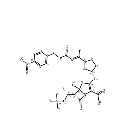 CC(=NC(=O)OCc1ccc([N+](=O)[O-])cc1)N1CC[C@H](SC2=C(C(=O)O)N3C(=O)[C@H]([C@@H](C)O[Si](C)(C)C)[C@@H]3C2)C1